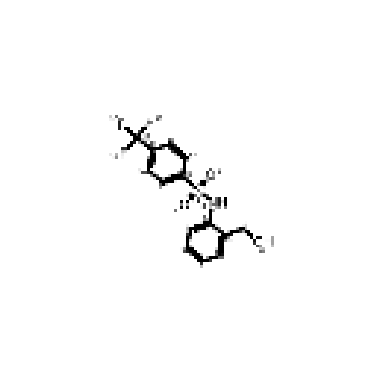 O=S(=O)(Nc1ccccc1CO)c1ccc(C(F)(F)F)cc1